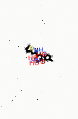 CC1CCC(O)(C(CC(O)C(N)Cc2cccs2)C(=O)NO)CC1